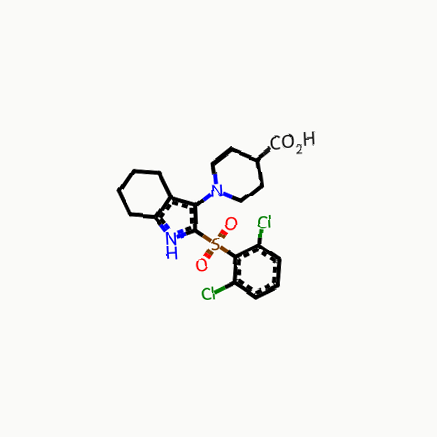 O=C(O)C1CCN(c2c(S(=O)(=O)c3c(Cl)cccc3Cl)[nH]c3c2CCCC3)CC1